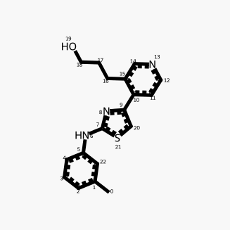 Cc1cccc(Nc2nc(-c3ccncc3CCCO)cs2)c1